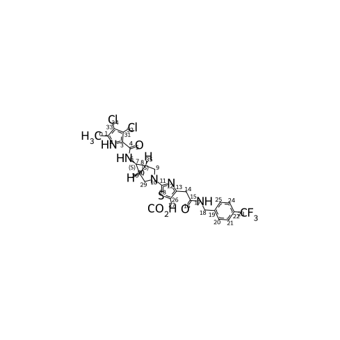 Cc1[nH]c(C(=O)N[C@H]2[C@@H]3CN(c4nc(CC(=O)NCc5ccc(C(F)(F)F)cc5)c(C(=O)O)s4)C[C@@H]32)c(Cl)c1Cl